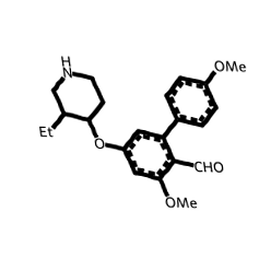 CCC1CNCCC1Oc1cc(OC)c(C=O)c(-c2ccc(OC)cc2)c1